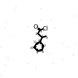 CC(CC(=O)Cl)c1ccccc1